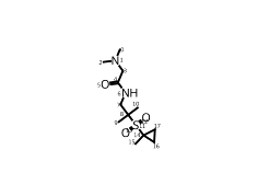 CN(C)CC(=O)NCC(C)(C)S(=O)(=O)C1(C)CC1